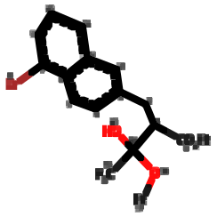 CCOC(=O)C(Cc1ccc2c(Br)cccc2c1)C(O)(OCC)C(F)(F)F